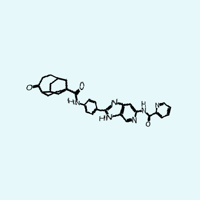 O=C(Nc1cc2nc(-c3ccc(NC(=O)C45CC6CCC(=O)C(C4)C(C6)C5)cc3)[nH]c2cn1)c1ccccn1